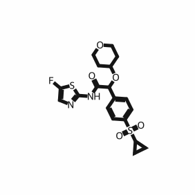 O=C(Nc1ncc(F)s1)C(OC1CCOCC1)c1ccc(S(=O)(=O)C2CC2)cc1